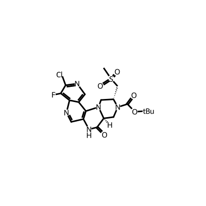 CC(C)(C)OC(=O)N1C[C@H]2C(=O)Nc3cnc4c(F)c(Cl)ncc4c3N2C[C@@H]1CS(C)(=O)=O